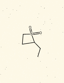 [CH2]CC1CCS1(=O)=O